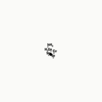 [Cu].[GaH3].[InH3].[Se]=[Se]